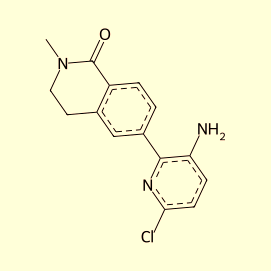 CN1CCc2cc(-c3nc(Cl)ccc3N)ccc2C1=O